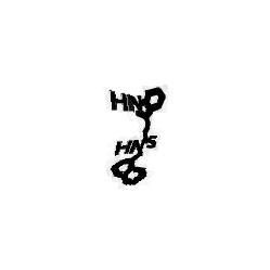 S=C(CCc1c[nH]c2ccccc12)NCc1cccc2ccccc12